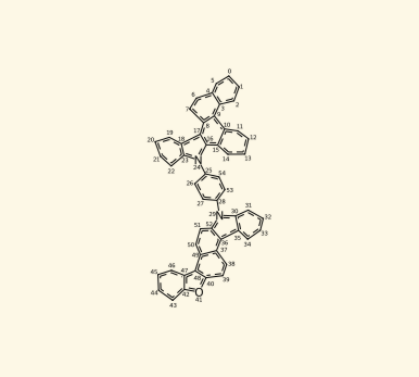 c1ccc2c(c1)ccc1c2c2ccccc2c2c1c1ccccc1n2-c1ccc(-n2c3ccccc3c3c4ccc5oc6ccccc6c5c4ccc32)cc1